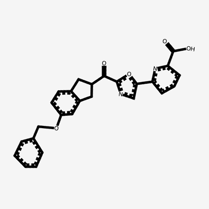 O=C(O)c1cccc(-c2cnc(C(=O)C3Cc4ccc(OCc5ccccc5)cc4C3)o2)n1